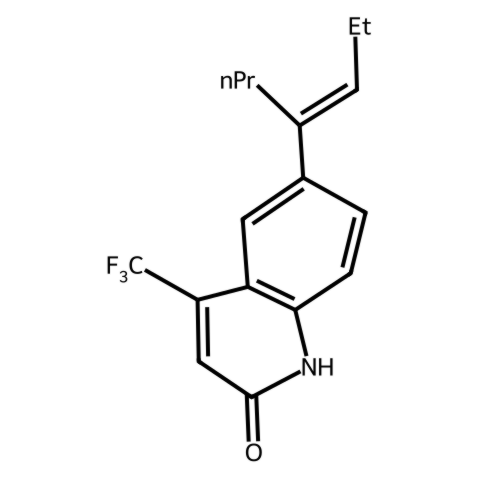 CC/C=C(\CCC)c1ccc2[nH]c(=O)cc(C(F)(F)F)c2c1